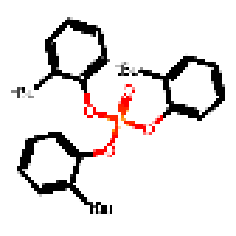 CC(C)(C)c1ccccc1OP(=O)(Oc1ccccc1C(C)(C)C)Oc1ccccc1C(C)(C)C